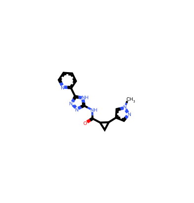 Cn1cc(C2CC2C(=O)Nc2nnc(-c3ccccn3)[nH]2)cn1